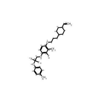 C=CC1CCC(CCCOc2ccc(OCC(F)(F)Oc3ccc(C)cc3)c(F)c2C(F)(F)F)CC1